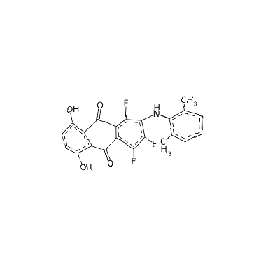 Cc1cccc(C)c1Nc1c(F)c(F)c2c(c1F)C(=O)c1c(O)ccc(O)c1C2=O